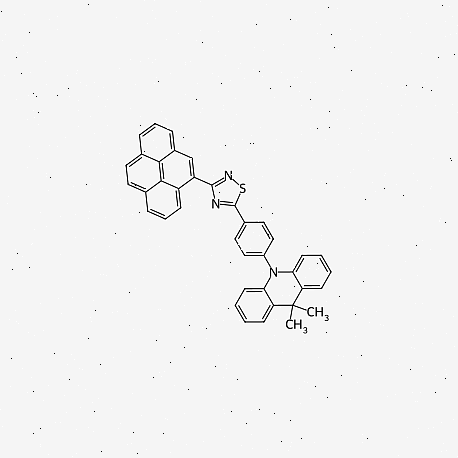 CC1(C)c2ccccc2N(c2ccc(-c3nc(-c4cc5cccc6ccc7cccc4c7c65)ns3)cc2)c2ccccc21